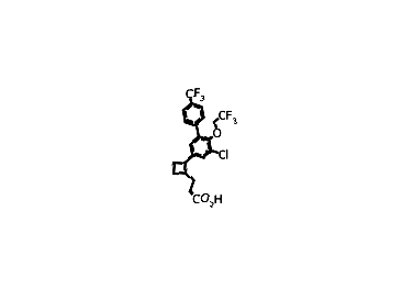 O=C(O)CCC1CCC1c1cc(Cl)c(OCC(F)(F)F)c(-c2ccc(C(F)(F)F)cc2)c1